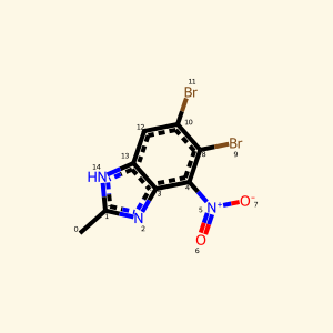 Cc1nc2c([N+](=O)[O-])c(Br)c(Br)cc2[nH]1